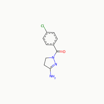 NC1=NN(C(=O)c2ccc(Cl)cc2)CC1